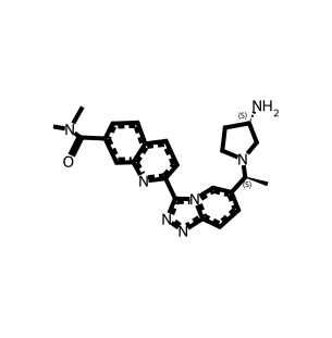 C[C@@H](c1ccc2nnc(-c3ccc4ccc(C(=O)N(C)C)cc4n3)n2c1)N1CC[C@H](N)C1